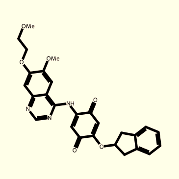 COCCOc1cc2ncnc(NC3=CC(=O)C(OC4Cc5ccccc5C4)=CC3=O)c2cc1OC